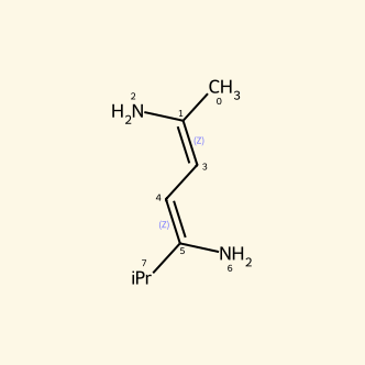 C/C(N)=C/C=C(\N)C(C)C